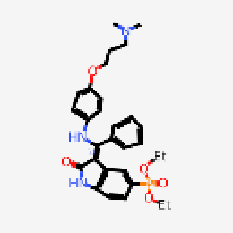 CCOP(=O)(OCC)c1ccc2c(c1)/C(=C(/Nc1ccc(OCCCN(C)C)cc1)c1ccccc1)C(=O)N2